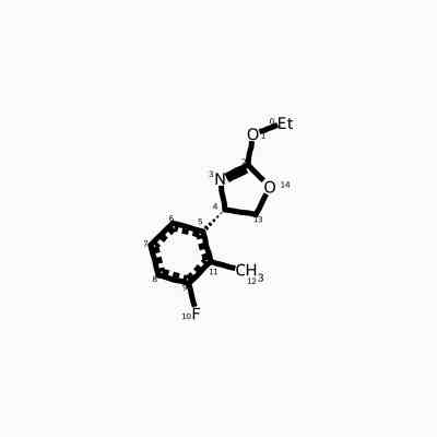 CCOC1=N[C@@H](c2cccc(F)c2C)CO1